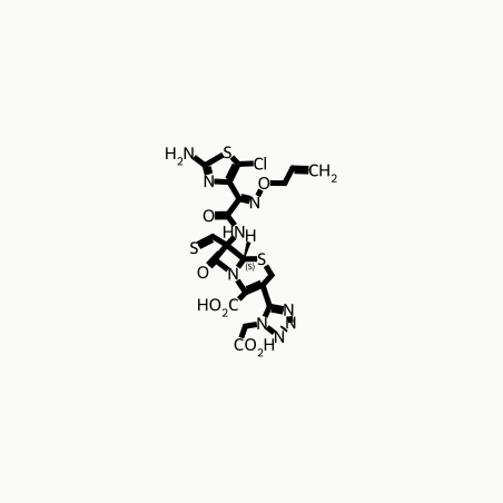 C=CCON=C(C(=O)NC1(C=S)C(=O)N2C(C(=O)O)=C(c3nnnn3CC(=O)O)CS[C@H]21)c1nc(N)sc1Cl